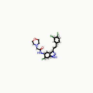 O=C(CN1CCOCC1)Nc1cc2c(/C=C/c3ccc(F)c(F)c3)n[nH]c2cc1F